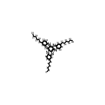 CCCCCCc1ccc2nc3c4nc5cc(CCCCCC)ccc5nc4c4nc5cc(CCCCCC)ccc5nc4c3nc2c1